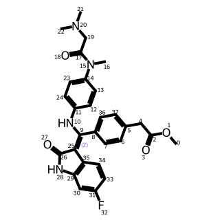 COC(=O)Cc1ccc(/C(Nc2ccc(N(C)C(=O)CN(C)C)cc2)=C2/C(=O)Nc3cc(F)ccc32)cc1